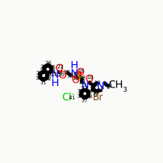 CCC[n+]1cc(Br)cc(C(=O)N(CCS(=O)(=O)NCCOC(=O)Nc2cccc3ccccc23)c2ccccc2)c1.[Cl-]